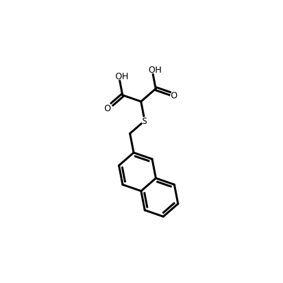 O=C(O)C(SCc1ccc2ccccc2c1)C(=O)O